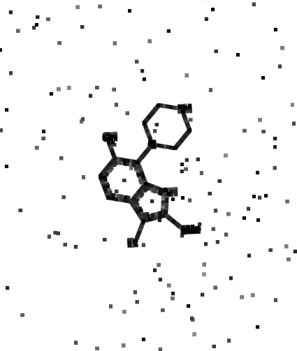 CCc1c(SC)[nH]c2c(N3CCNCC3)c(O)ccc12